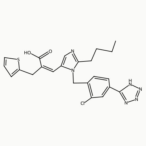 CCCCc1ncc(C=C(Cc2cccs2)C(=O)O)n1Cc1ccc(-c2nnn[nH]2)cc1Cl